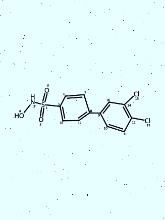 O=S(=O)(NO)c1ccc(-c2ccc(Cl)c(Cl)c2)cc1